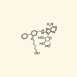 Nc1ncnc2c1nc(NCc1ccc(-c3ccccc3)c(OCCCCCO)c1)n2[C@@H]1O[C@H](CO)[C@@H](O)[C@H]1O